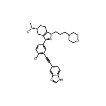 C[S+]([O-])N1CCc2c(c(-c3ccc(Cl)c(C#Cc4ccc5[nH]cnc5c4)c3)nn2CCCN2CCOCC2)C1